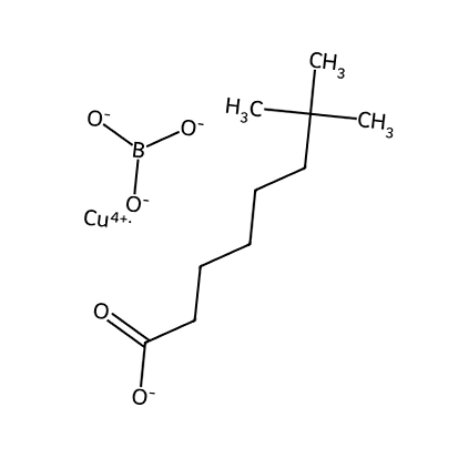 CC(C)(C)CCCCCC(=O)[O-].[Cu+4].[O-]B([O-])[O-]